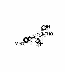 COc1ccc2cc(C(=O)N3C[C@H]4[C@@H]([C@H]3C(=O)N[C@H](C=O)C[C@@H]3CCNC3=O)C4(C)C)[nH]c2c1